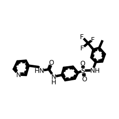 Cc1ccc(NS(=O)(=O)c2ccc(NC(=O)NCc3cccnc3)cc2)cc1C(F)(F)F